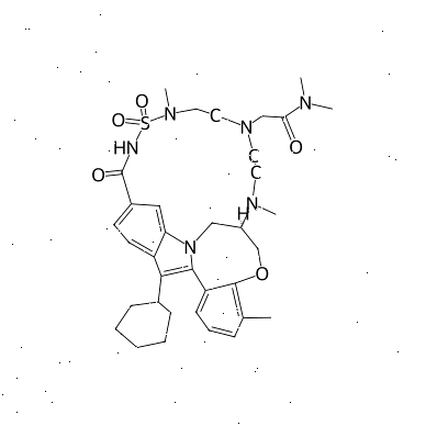 Cc1cccc2c1OC[C@H]1Cn3c-2c(C2CCCCC2)c2ccc(cc23)C(=O)NS(=O)(=O)N(C)CCN(CC(=O)N(C)C)CCN1C